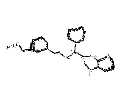 O=C(O)Cc1cccc(CCO[C@@H](c2ccccc2)[C@H]2CNc3cccnc3N2)c1